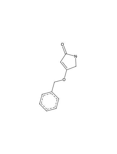 O=C1C=C(OCc2ccccc2)C[N]1